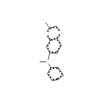 [2H]c1cnc2ccc(N(CC)c3ccccc3)cc2n1